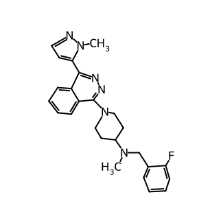 CN(Cc1ccccc1F)C1CCN(c2nnc(-c3ccnn3C)c3ccccc23)CC1